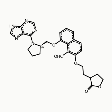 O=Cc1c(OCCC2CCOC2=O)ccc2cccc(OC[C@H]3CCCN3c3ncnc4[nH]cnc34)c12